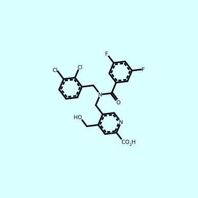 O=C(O)c1cc(CO)c(CN(Cc2cccc(Cl)c2Cl)C(=O)c2cc(F)cc(F)c2)cn1